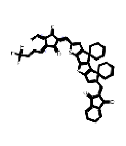 C/C=C1/C(=O)/C(=C/c2cc3c(s2)-c2sc4c(c2C32CCCCC2)C2(CCCCC2)C(C=C2C(=O)C3=CCCC=C3C2=O)=C4)C(=O)/C1=C/CCC(F)(F)F